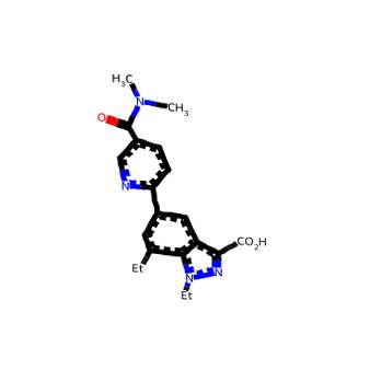 CCc1cc(-c2ccc(C(=O)N(C)C)cn2)cc2c(C(=O)O)nn(CC)c12